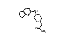 NC(=O)CC1CCC(Nc2ccc3c(c2)CCC3)CC1